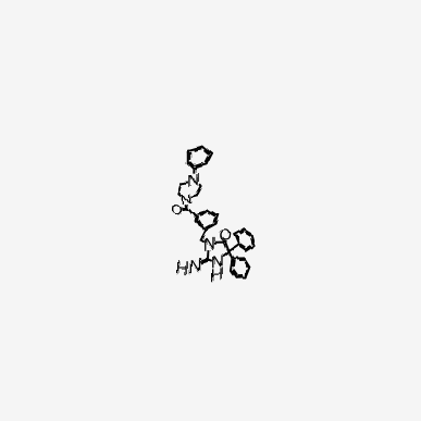 N=C1NC(c2ccccc2)(c2ccccc2)C(=O)N1Cc1cccc(C(=O)N2CCN(c3ccccc3)CC2)c1